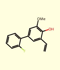 C=Cc1cc(-c2ccccc2F)cc(OC)c1O